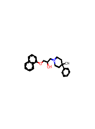 N#CC1(c2ccccc2)CCN(CC(O)COc2cccc3ccccc23)CC1